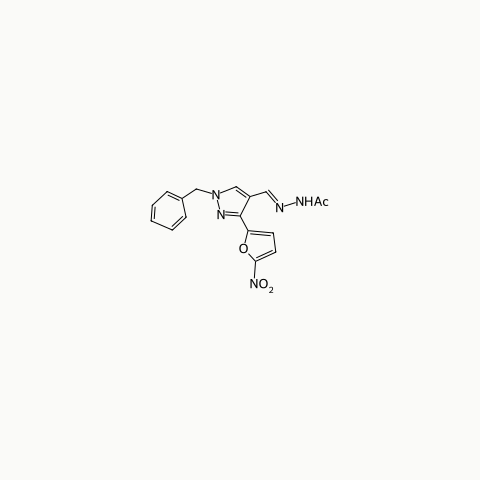 CC(=O)N/N=C/c1cn(Cc2ccccc2)nc1-c1ccc([N+](=O)[O-])o1